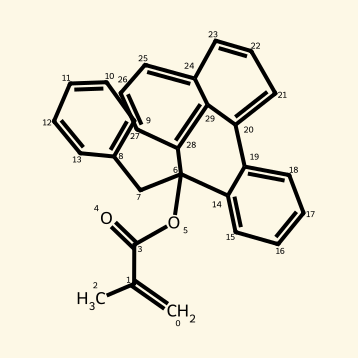 C=C(C)C(=O)OC1(Cc2ccccc2)c2ccccc2-c2cccc3cccc1c23